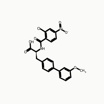 COc1cccc(-c2ccc(C[C@H](NC(=O)c3ccc([N+](=O)[O-])cc3Cl)C(=O)O)cc2)c1